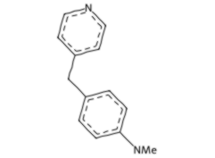 CNc1ccc(Cc2ccncc2)cc1